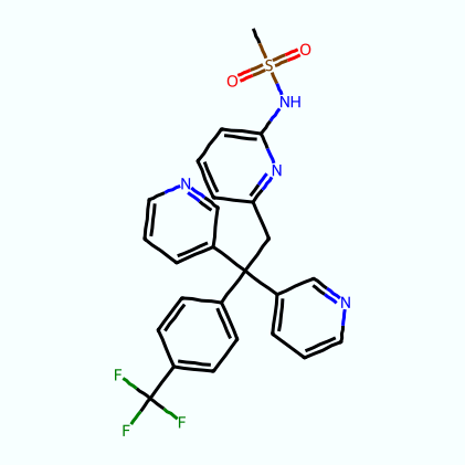 CS(=O)(=O)Nc1cccc(CC(c2ccc(C(F)(F)F)cc2)(c2cccnc2)c2cccnc2)n1